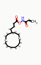 C=CC(=O)NOC(=O)CCCC1CCCCCCCCCCCC1